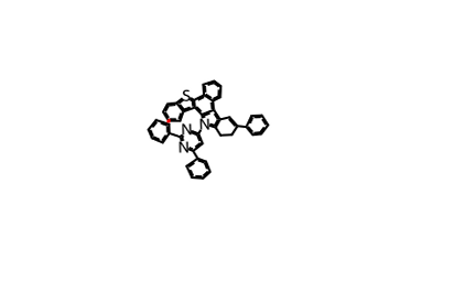 C1=C(c2ccccc2)CCc2c1c1c3ccccc3c3sc4ccccc4c3c1n2-c1cc(-c2ccccc2)nc(-c2ccccc2)n1